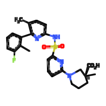 Cc1c(F)cccc1-c1nc(NS(=O)(=O)c2cccc(N3CCC[C@](C)(C(=O)O)C3)n2)ccc1C(F)(F)F